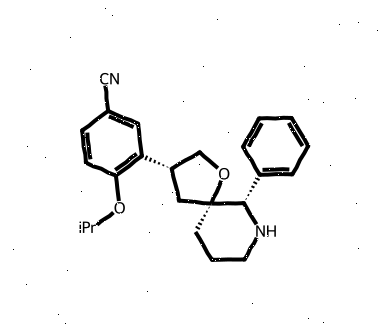 CC(C)Oc1ccc(C#N)cc1[C@@H]1CO[C@]2(CCCN[C@H]2c2ccccc2)C1